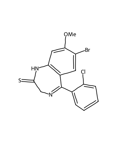 COc1cc2c(cc1Br)C(c1ccccc1Cl)=NCC(=S)N2